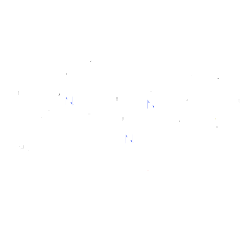 CC(C)(C)OC(=O)N1CCCC(c2nc(O)cc(-c3cccs3)n2)C1